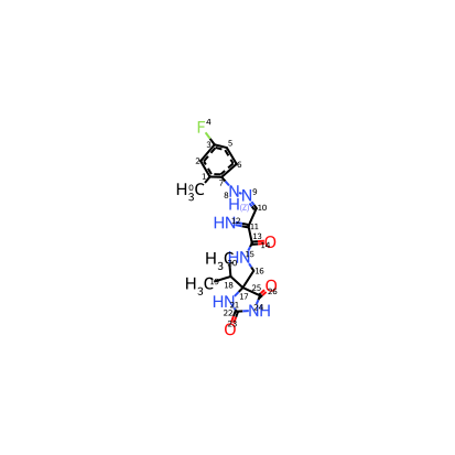 Cc1cc(F)ccc1N/N=C\C(=N)C(=O)NCC1(C(C)C)NC(=O)NC1=O